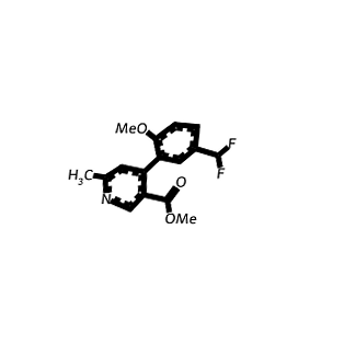 COC(=O)c1cnc(C)cc1-c1cc(C(F)F)ccc1OC